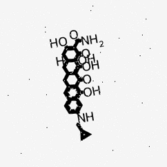 NC(=O)C1=C(O)C[C@@H]2CC3Cc4cc5ccc(NCC6CC6)cc5c(O)c4C(=O)C3=C(O)[C@]2(O)C1=O